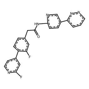 O=C(Cc1ccc(-c2ccnc(F)c2)c(F)c1)Nc1ccc(-c2cccnn2)cn1